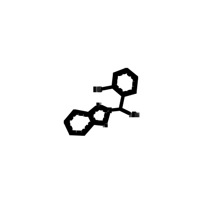 CCCCC(c1ccccc1O)n1nc2ccccc2n1